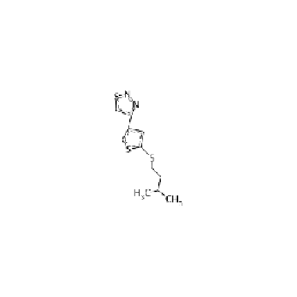 CC(C)CCSc1cc(-c2csnn2)cs1